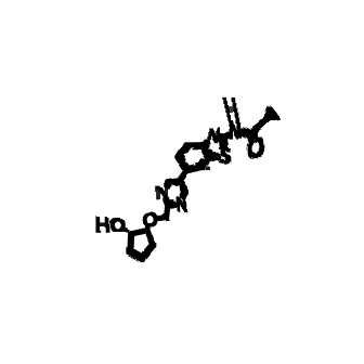 O=C(Nc1nc2ccc(-c3cnc(CO[C@H]4CCC[C@@H]4O)nc3)[c]c2s1)C1CC1